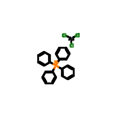 [Cl][Au]([Cl])[Cl].c1ccc([PH](c2ccccc2)(c2ccccc2)c2ccccc2)cc1